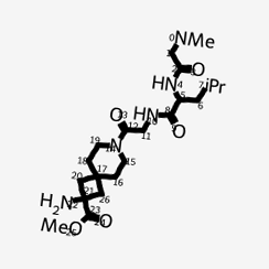 CNCC(=O)NC(CC(C)C)C(=O)NCC(=O)N1CCC2(CC1)CC(N)(C(=O)OC)C2